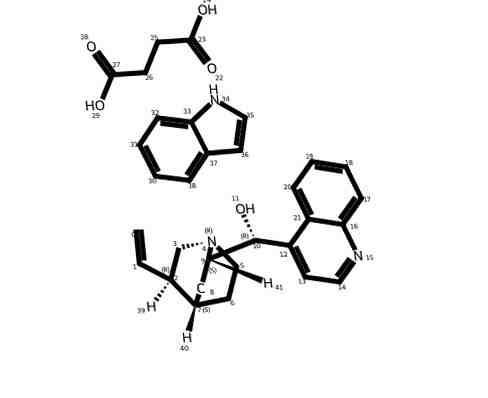 C=C[C@H]1C[N@]2CC[C@H]1C[C@H]2[C@H](O)c1ccnc2ccccc12.O=C(O)CCC(=O)O.c1ccc2[nH]ccc2c1